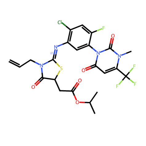 C=CCN1C(=O)C(CC(=O)OC(C)C)S/C1=N\c1cc(-n2c(=O)cc(C(F)(F)F)n(C)c2=O)c(F)cc1Cl